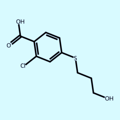 O=C(O)c1ccc(SCCCO)cc1Cl